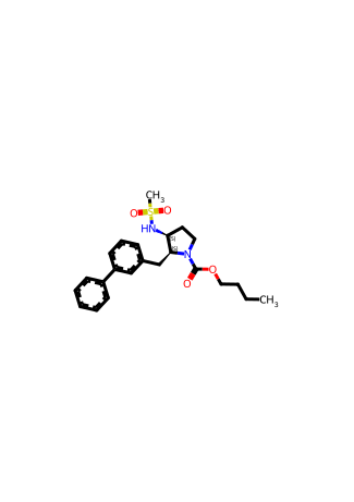 CCCCOC(=O)N1CC[C@H](NS(C)(=O)=O)[C@@H]1Cc1cccc(-c2ccccc2)c1